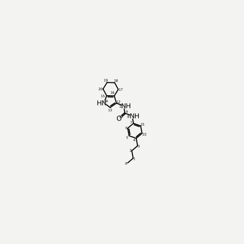 CCCCc1ccc(NC(=O)Nc2c[nH]c3c2CCCC3)cc1